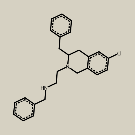 Clc1ccc2c(c1)CC(Cc1ccccc1)N(CCNCc1ccccc1)C2